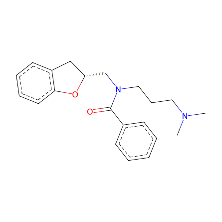 CN(C)CCCN(C[C@H]1Cc2ccccc2O1)C(=O)c1ccccc1